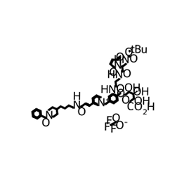 CC(C)(C)OC(=O)NCC(C(=O)NCCC(=O)Nc1cc(C[n+]2cccc(/C=C/C(=O)NCCCCC3CCN(C(=O)c4ccccc4)CC3)c2)ccc1O[C@@H]1O[C@H](C(=O)O)[C@@H](O)[C@H](O)[C@H]1O)N1C(=O)C=CC1=O.O=C([O-])C(F)(F)F